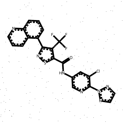 O=C(Nc1cnc(-n2nccn2)c(Cl)c1)c1snc(-c2cccc3ncccc23)c1C(F)(F)F